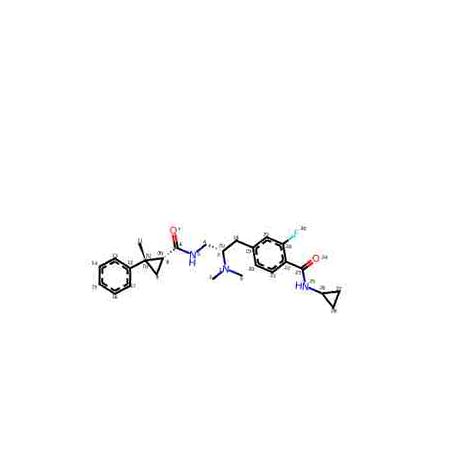 CN(C)[C@H](CNC(=O)[C@@H]1C[C@]1(C)c1ccccc1)Cc1ccc(C(=O)NC2CC2)c(F)c1